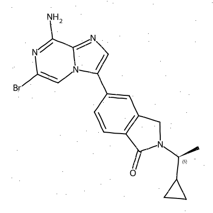 C[C@@H](C1CC1)N1Cc2cc(-c3cnc4c(N)nc(Br)cn34)ccc2C1=O